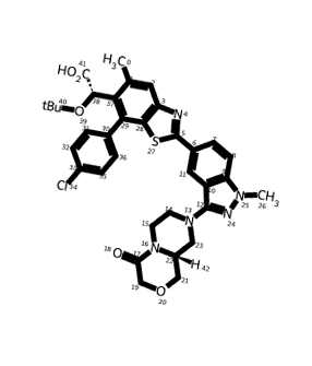 Cc1cc2nc(-c3ccc4c(c3)c(N3CCN5C(=O)COC[C@H]5C3)nn4C)sc2c(-c2ccc(Cl)cc2)c1[C@H](OC(C)(C)C)C(=O)O